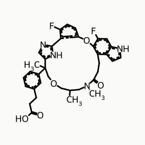 CC1COCC(C)(c2cccc(CCC(=O)O)c2)c2cnc([nH]2)-c2cc(ccc2F)Oc2c(F)cc3[nH]ccc3c2CCC(=O)N(C)C1